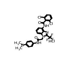 CN(C)c1ccc(NC(=O)Cn2c(C(F)(F)F)nc3c(NC(=O)c4c(Cl)cccc4Cl)cccc32)cc1.Cl